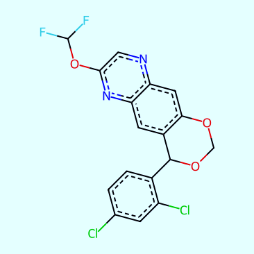 FC(F)Oc1cnc2cc3c(cc2n1)C(c1ccc(Cl)cc1Cl)OCO3